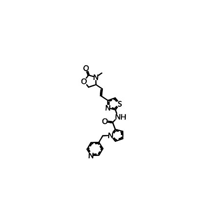 CN1C(=O)OCC1/C=C/c1csc(NC(=O)c2cccn2Cc2ccncc2)n1